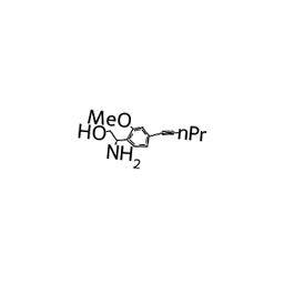 CCCC#Cc1ccc([C@@H](N)CO)c(OC)c1